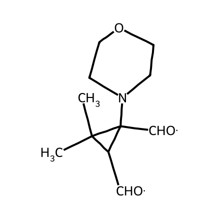 CC1(C)C([C]=O)C1([C]=O)N1CCOCC1